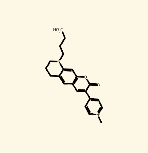 C[n+]1ccc(-c2cc3cc4c(cc3oc2=O)N(CCCC(=O)O)CCC4)cc1